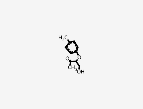 CC(=O)C(CO)Oc1ccc(C)cc1